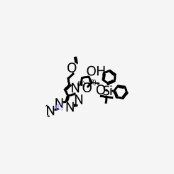 C=COCCc1cc2c(/N=C/N(C)C)ncnc2n1[C@H]1CC(O)[C@@H](CO[Si](c2ccccc2)(c2ccccc2)C(C)(C)C)O1